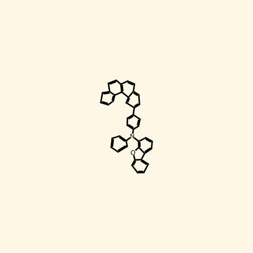 c1ccc(N(c2ccc(-c3ccc4ccc5ccc6ccccc6c5c4c3)cc2)c2cccc3c2oc2ccccc23)cc1